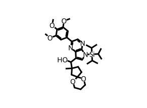 COc1cc(-c2cnc3c(n2)c(C(O)C2(C)CCC4(C2)OCCCO4)cn3[Si](C(C)C)(C(C)C)C(C)C)cc(OC)c1OC